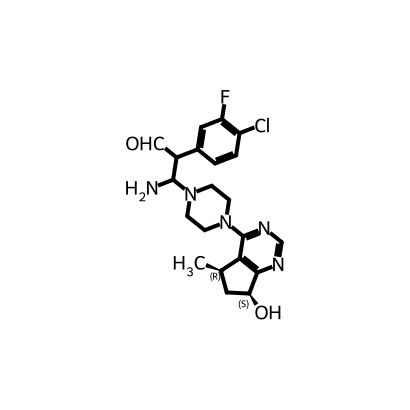 C[C@@H]1C[C@H](O)c2ncnc(N3CCN(C(N)C(C=O)c4ccc(Cl)c(F)c4)CC3)c21